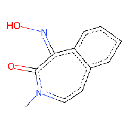 Cn1ccc2ccccc2c(=NO)c1=O